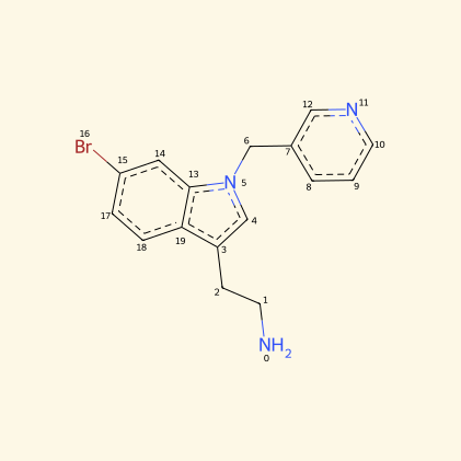 NCCc1cn(Cc2cccnc2)c2cc(Br)ccc12